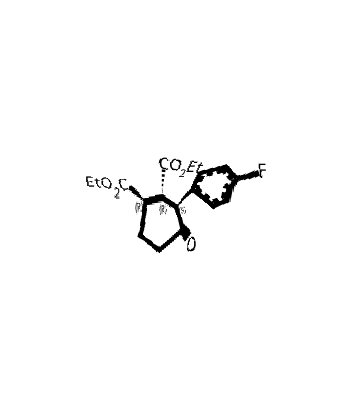 CCOC(=O)[C@@H]1[C@@H](c2ccc(F)cc2)C(=O)CC[C@H]1C(=O)OCC